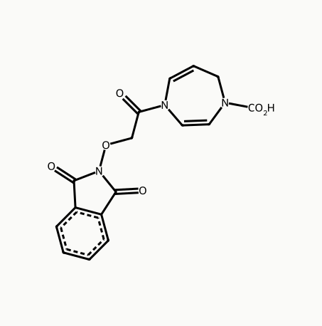 O=C(CON1C(=O)c2ccccc2C1=O)N1C=CCN(C(=O)O)C=C1